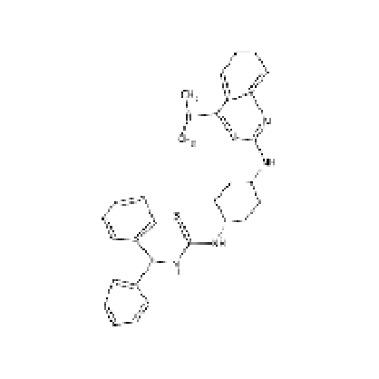 CN(C)c1nc(N[C@H]2CC[C@@H](NC(=S)NC(c3ccccc3)c3ccccc3)CC2)nc2ccccc12